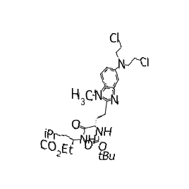 CCOC(=O)[C@@H](CC(C)C)NC(=O)[C@H](CCc1nc2cc(N(CCCl)CCCl)ccc2n1C)NC(=O)OC(C)(C)C